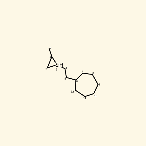 CC1C[SiH]1CCC1CCCCCC1